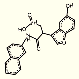 O=C(Nc1ccc2ccccc2c1)C(C[PH](=O)O)c1coc2ccc(O)cc12